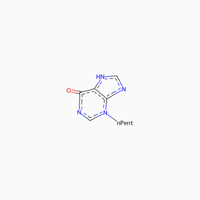 CCCCCn1cnc(=O)c2[nH]cnc21